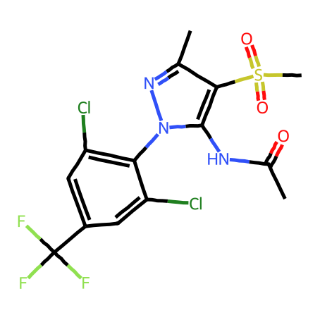 CC(=O)Nc1c(S(C)(=O)=O)c(C)nn1-c1c(Cl)cc(C(F)(F)F)cc1Cl